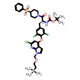 CC(C)(C)OC(=O)N[C@@H](Cc1cc(F)c(Oc2cc(Cl)nc3c2ccn3COCC[Si](C)(C)C)c(F)c1)C(=O)N1CCC(S(=O)(=O)c2ccccc2)CC1